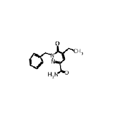 CCc1cc(C(N)=O)nn(Cc2ccccc2)c1=O